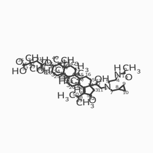 CC(=O)NCCN(CC1CC1)CC(O)C12CC[C@]3(C)[C@H](CC[C@@H]4[C@@]5(C)CC[C@H](OC(=O)CC(C)(C)C(=O)O)C(C)(C)[C@@H]5CC[C@]43C)C1=C(C(C)C)C(=O)C2